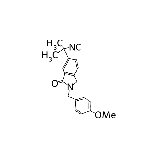 [C-]#[N+]C(C)(C)c1ccc2c(c1)C(=O)N(Cc1ccc(OC)cc1)C2